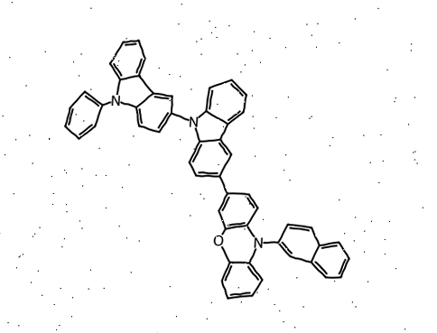 c1ccc(-n2c3ccccc3c3cc(-n4c5ccccc5c5cc(-c6ccc7c(c6)Oc6ccccc6N7c6ccc7ccccc7c6)ccc54)ccc32)cc1